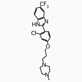 CN1CCN(CCCOc2ccc(-c3nc4cc(C(F)(F)F)ccc4[nH]3)c(Cl)c2)CC1